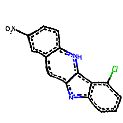 O=[N+]([O-])c1ccc2[nH]c3c4c(Cl)cccc4nc-3cc2c1